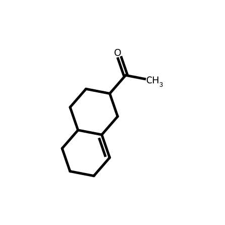 CC(=O)C1CCC2CCCC=C2C1